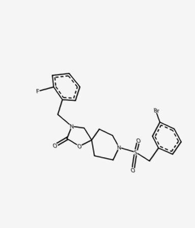 O=C1OC2(CCN(S(=O)(=O)Cc3cccc(Br)c3)CC2)CN1Cc1ccccc1F